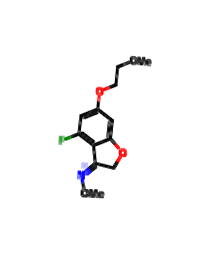 COCCOc1cc(F)c2c(c1)OC/C2=N\OC